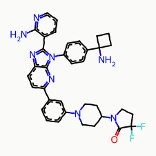 Nc1ncccc1-c1nc2ccc(-c3cccc(N4CCC(N5CCC(F)(F)C5=O)CC4)c3)nc2n1-c1ccc(C2(N)CCC2)cc1